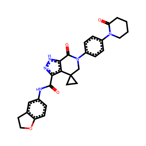 O=C(Nc1ccc2c(c1)CCO2)c1n[nH]c2c1C1(CC1)CN(c1ccc(N3CCCCC3=O)cc1)C2=O